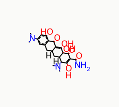 CN(C)c1cc(O)c2c(c1)C[C@H]1C[C@H]3[C@H](N(C)C)C(O)=C(C(N)=O)C(=O)[C@@]3(O)C(O)=C1C2=O